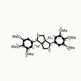 COc1cc([C@H]2OC[C@@H]3[C@H]2CO[C@@H]3c2cc(OC)c(OC)c(OC)c2)cc(OC)c1OC